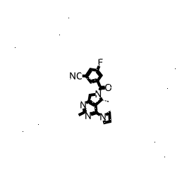 Cc1nc2c(c(N3CCC3)n1)[C@@H](C)N(C(=O)c1cc(F)cc(C#N)c1)C2